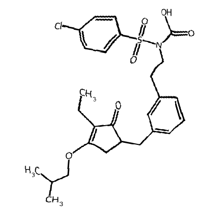 CCC1=C(OCC(C)C)CC(Cc2cccc(CCN(C(=O)O)S(=O)(=O)c3ccc(Cl)cc3)c2)C1=O